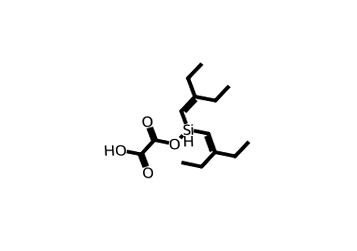 CCC(=C[SiH](C=C(CC)CC)OC(=O)C(=O)O)CC